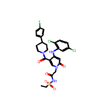 CCS(=O)(=O)NC(=O)Cn1cc(C(=O)N2CCC(c3ccc(F)cc3)CC2)c(Nc2cc(Cl)ccc2Cl)cc1=O